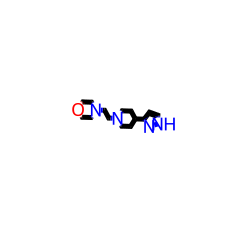 c1cc(C2CCN(CCN3CCOCC3)CC2)n[nH]1